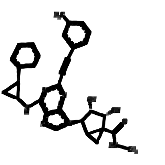 CNC(=O)C12CC1[C@@H](n1cnc3c(NC4C[C@H]4c4ccccc4)nc(C#Cc4cccc(C)c4)nc31)[C@H](O)[C@@H]2O